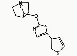 c1cc(-c2cnc(OC3CN4CCC3CC4)s2)cs1